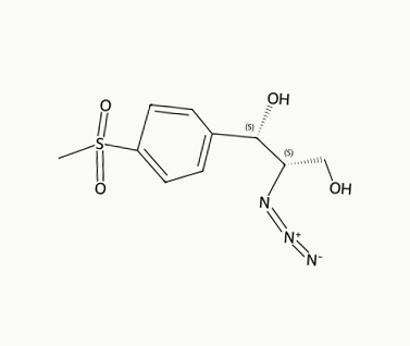 CS(=O)(=O)c1ccc([C@H](O)[C@H](CO)N=[N+]=[N-])cc1